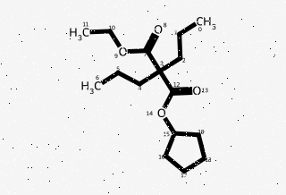 CCCC(CCC)(C(=O)OCC)C(=O)OC1CCCC1